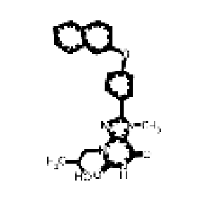 CC(O)Cn1c(=O)[nH]c(=O)c2c1nc(-c1ccc(Oc3ccc4ccccc4c3)cc1)n2C